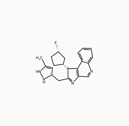 CC1=CN(Cc2nc3cnc4ccccc4c3n2[C@@H]2CC[C@H](F)C2)NN1